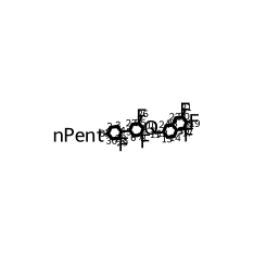 CCCCCc1ccc(-c2cc(F)c(OCc3ccc4c(F)c(F)c(F)cc4c3)c(F)c2)c(F)c1